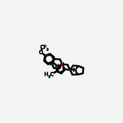 Cc1cc(C2CC3CCC(C2)N3CCN2CCOCC2)nn1-c1ccc(OC(F)(F)F)cc1